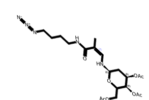 CC(=O)OCC1O[C@@H](N/C=C(/C)C(=O)NCCCCN=[N+]=[N-])C[C@@H](OC(C)=O)[C@H]1OC(C)=O